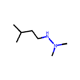 CC(C)CCNN(C)C